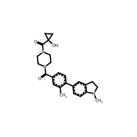 Cc1cc(C(=O)N2CCN(C(=O)C3(O)CC3)CC2)ccc1-c1ccc2c(c1)CCN2C